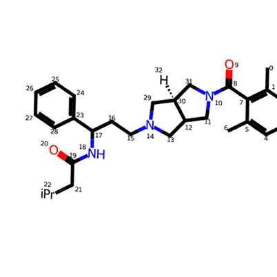 Cc1cccc(C)c1C(=O)N1CC2CN(CCC(NC(=O)CC(C)C)c3ccccc3)C[C@H]2C1